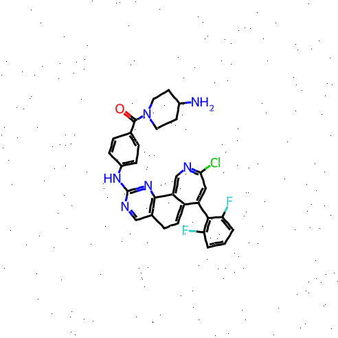 NC1CCN(C(=O)c2ccc(Nc3ncc4c(n3)C3=CN=C(Cl)C=C(c5c(F)cccc5F)C3=CC4)cc2)CC1